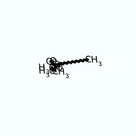 CCCCCCCCCCCCCC=CC(=O)OC(CC(=O)[O-])C[N+](C)(C)C